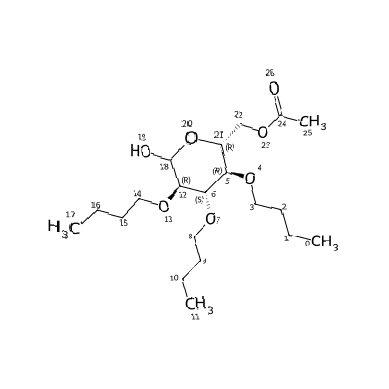 CCCCO[C@H]1[C@H](OCCCC)[C@@H](OCCCC)C(O)O[C@@H]1COC(C)=O